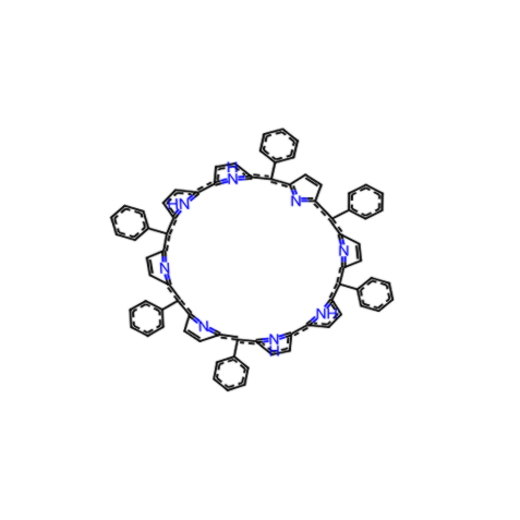 C1=Cc2nc1c(-c1ccccc1)c1nc(c(-c3ccccc3)c3ccc([nH]3)c3ccc([nH]3)c(-c3ccccc3)c3nc(c(-c4ccccc4)c4nc(c(-c5ccccc5)c5ccc([nH]5)c5ccc([nH]5)c2-c2ccccc2)C=C4)C=C3)C=C1